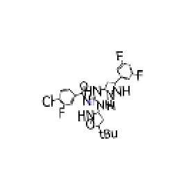 CC(C)(C)C1CC(N/C(=N/C(=O)c2ccc(Cl)c(F)c2)NC2CC(c3cc(F)cc(F)c3)NN2)NO1